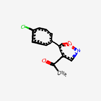 COC(=O)c1cnoc1-c1ccc(Cl)cc1